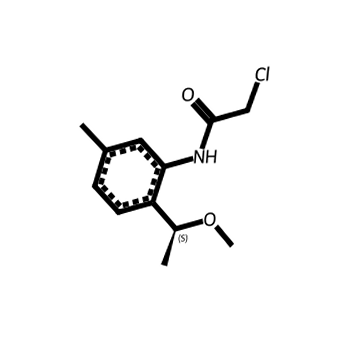 CO[C@@H](C)c1ccc(C)cc1NC(=O)CCl